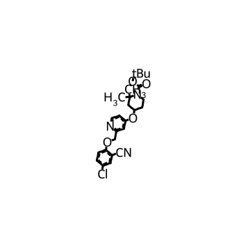 CC(C)(C)OC(=O)N1CCC(Oc2ccnc(COc3ccc(Cl)cc3C#N)c2)CC1(C)C